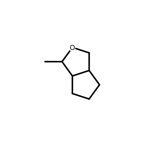 CC1OCC2CCCC21